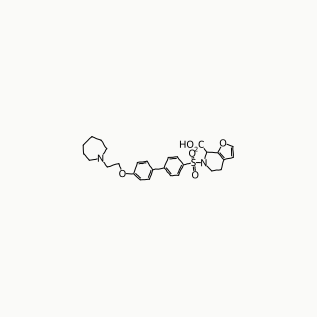 O=C(O)C1c2occc2CCN1S(=O)(=O)c1ccc(-c2ccc(OCCN3CCCCCC3)cc2)cc1